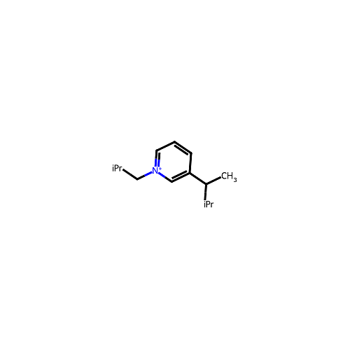 CC(C)C[n+]1cccc(C(C)C(C)C)c1